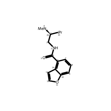 CN[C@H](CNC(=O)c1cccc2occc12)C(C)C